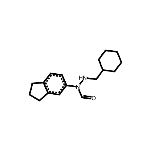 O=CN(NCC1CCCCC1)c1ccc2c(c1)CCC2